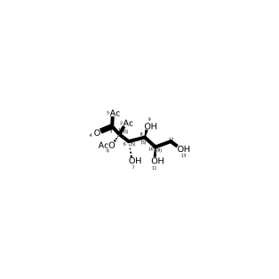 CC(=O)O[C@@](C(C)=O)(C(=O)C(C)=O)[C@@H](O)[C@@H](O)[C@H](O)CO